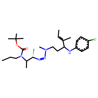 C/C=C(\C)C(CCN(C)/N=N\[C@@H](C)C(C)N(CCC)C(=O)OC(C)(C)C)Nc1ccc(Cl)cc1